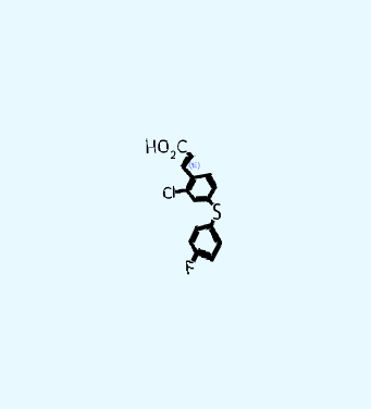 O=C(O)/C=C/c1ccc(Sc2ccc(F)cc2)cc1Cl